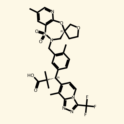 Cc1cnc2c(c1)S(=O)(=O)N(Cc1cc([C@H](c3ccn4c(C(F)(F)F)nnc4c3C)C(C)(C)C(=O)O)ccc1C)C[C@@]1(CCOC1)O2